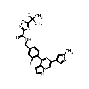 Cn1cc(-c2cn3nccc3c(-c3ccc(CNC(=O)c4noc(C(C)(C)C)n4)cc3F)n2)cn1